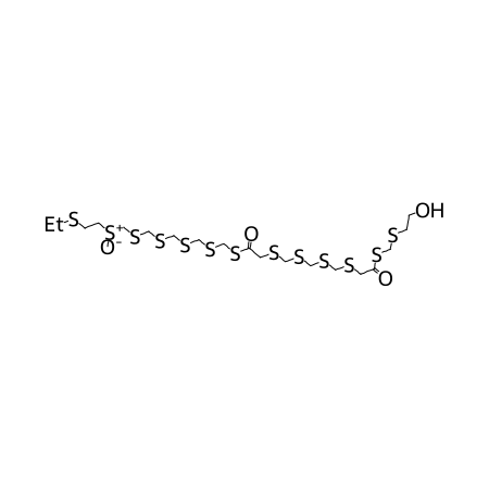 CCSCC[S+]([O-])CSCSCSCSCSC(=O)CSCSCSCSCC(=O)SCSCCO